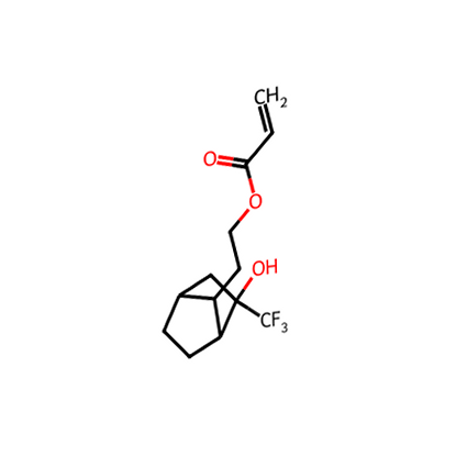 C=CC(=O)OCCC1C2CCC1C(O)(C(F)(F)F)C2